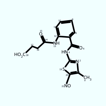 Cc1nc(NC(=O)c2ccccc2NC(=O)CCC(=O)O)sc1N=O